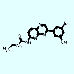 CCNC(=O)Nc1ccc2ncc(-c3cc(C)cc(Br)c3)nc2n1